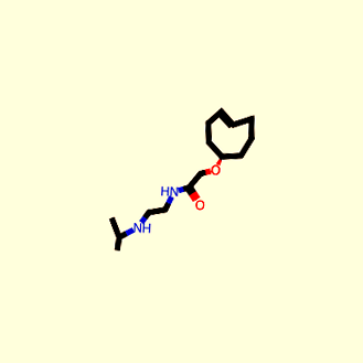 CC(C)NCCNC(=O)CO[C@H]1CC/C=C/CCC1